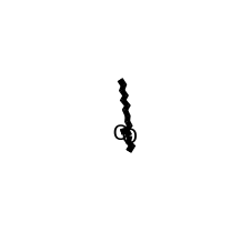 C=CCCCCCCCCC(=O)OCC=C